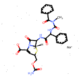 CN(C(=O)NC(C(=O)NC1C(=O)N2C(C(=O)[O-])=CC(COC(N)=O)S[C@@H]12)c1ccccc1)C(=O)c1ccccc1.[Na+]